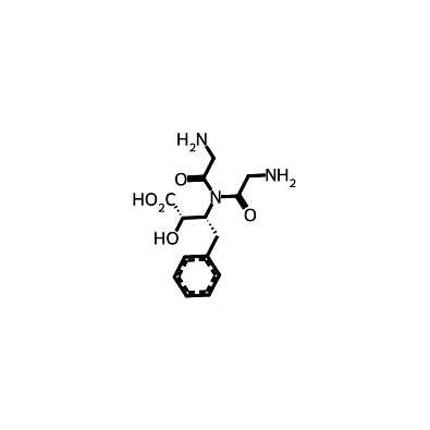 NCC(=O)N(C(=O)CN)[C@H](Cc1ccccc1)[C@H](O)C(=O)O